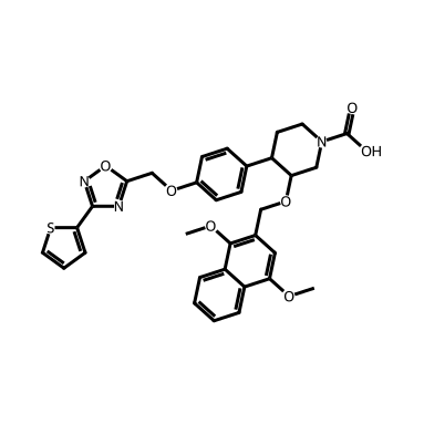 COc1cc(COC2CN(C(=O)O)CCC2c2ccc(OCc3nc(-c4cccs4)no3)cc2)c(OC)c2ccccc12